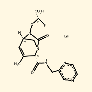 CC1=C[C@@H]2CN(C(=O)N2O[C@@H](F)C(=O)O)[C@@H]1C(=O)NCc1cnccn1.[LiH]